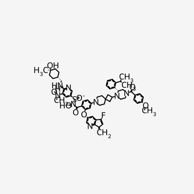 C=C1C=C(F)c2cc(Oc3cc(N4CCC5(CC4)CC(N4CCN(C(=O)c6ccc(OC)cc6)C[C@H]4c4ccccc4C(C)C)C5)ccc3C(=O)N(O)[S+]([O-])c3cnc(NC[C@H]4CC[C@](C)(O)CC4)c([NH+](C)[O-])c3)cnc21